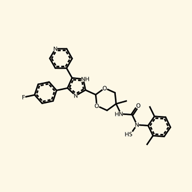 Cc1cccc(C)c1N(S)C(=O)NC1(C)COC(c2nc(-c3ccc(F)cc3)c(-c3ccncc3)[nH]2)OC1